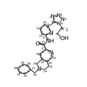 C[C@H](CO)n1nnnc1-c1cccc(NC(=O)c2cc3c(cn2)CCN(Cc2ccccc2)C3)n1